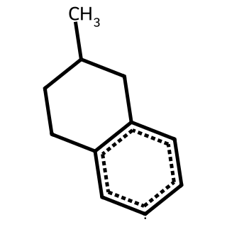 CC1CCc2c[c]ccc2C1